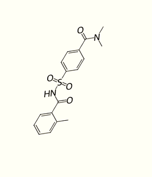 Cc1ccccc1C(=O)NS(=O)(=O)c1ccc(C(=O)N(C)C)cc1